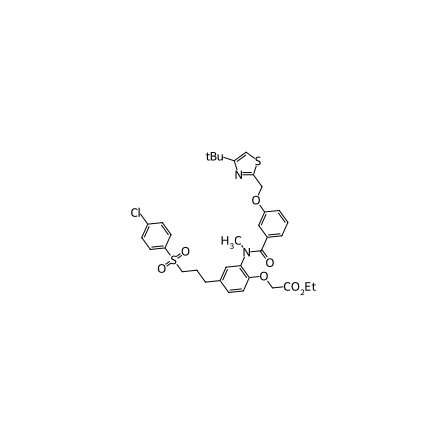 CCOC(=O)COc1ccc(CCCS(=O)(=O)c2ccc(Cl)cc2)cc1N(C)C(=O)c1cccc(OCc2nc(C(C)(C)C)cs2)c1